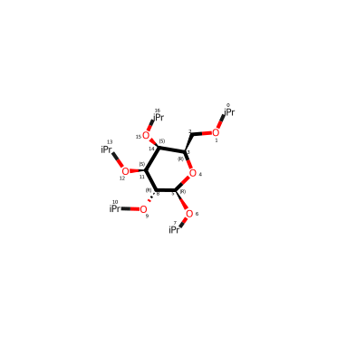 CC(C)OC[C@H]1O[C@@H](OC(C)C)[C@H](OC(C)C)[C@@H](OC(C)C)[C@H]1OC(C)C